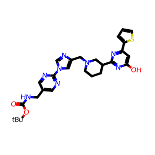 CC(C)(C)OC(=O)NCc1cnc(-n2cnc(CN3CCCC(c4nc(O)cc(-c5cccs5)n4)C3)c2)nc1